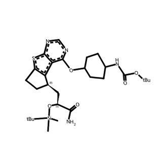 CC(C)(C)OC(=O)NC1CCC(Oc2ncnc3sc4c(c23)[C@@H](C[C@H](O[Si](C)(C)C(C)(C)C)C(N)=O)CC4)CC1